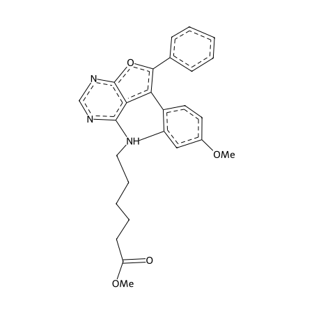 COC(=O)CCCCCNc1ncnc2oc(-c3ccccc3)c(-c3ccc(OC)cc3C)c12